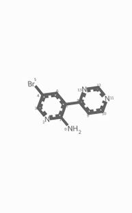 Nc1ncc(Br)cc1-c1ccncn1